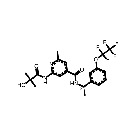 Cc1cc(C(=O)N[C@H](C)c2cccc(OC(F)(F)C(F)(F)F)c2)cc(NC(=O)C(C)(C)O)n1